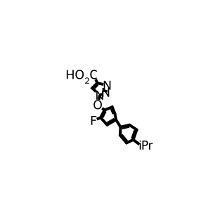 CC(C)c1ccc(-c2ccc(On3cc(C(=O)O)nn3)c(F)c2)cc1